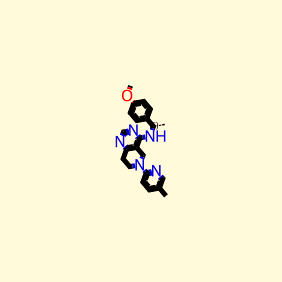 COc1ccc([C@H](C)Nc2ncnc3c2CN(c2ccc(C)cn2)CC3)cc1